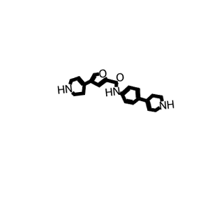 O=C(Nc1ccc(C2=CCNCC2)cc1)c1cc(C2=CCNCC2)co1